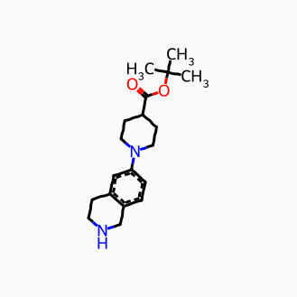 CC(C)(C)OC(=O)C1CCN(c2ccc3c(c2)CCNC3)CC1